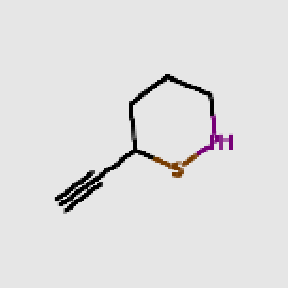 C#CC1CCCPS1